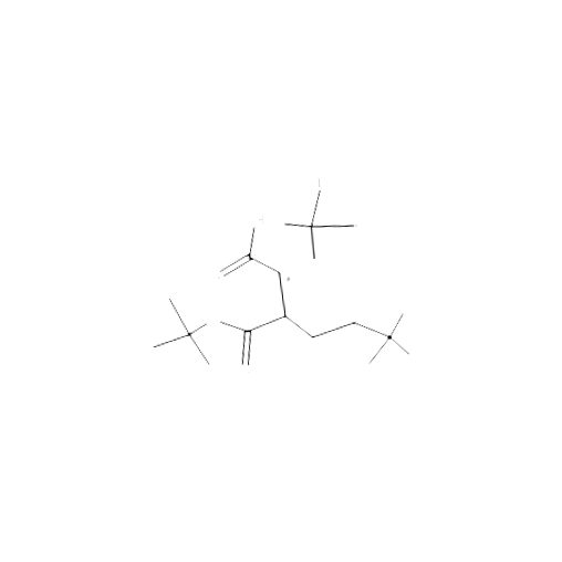 CC(C)(C)OC(=O)C(CCC(F)(F)F)[C@@H](CC(F)(F)F)C(=O)O